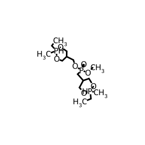 CC[PH]1(C)OCC(COP(=O)(CC2CO[PH](C)(CC)OC2)OC)CO1